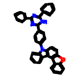 c1ccc(C2=NC(c3ccc(-n4c5ccccc5c5c6c(ccc54)oc4ccccc46)cc3)NC(c3ccccc3)=N2)cc1